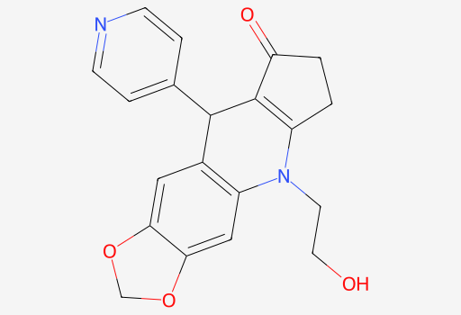 O=C1CCC2=C1C(c1ccncc1)c1cc3c(cc1N2CCO)OCO3